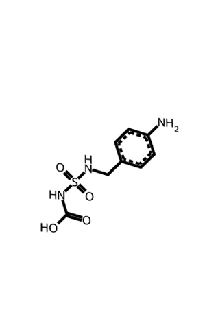 Nc1ccc(CNS(=O)(=O)NC(=O)O)cc1